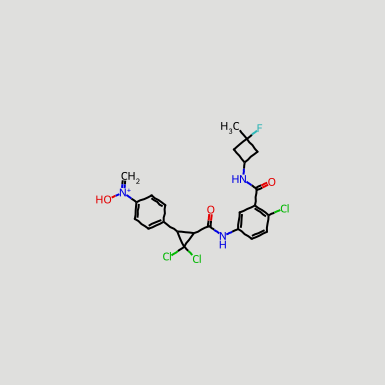 C=[N+](O)c1ccc(C2C(C(=O)Nc3ccc(Cl)c(C(=O)NC4CC(C)(F)C4)c3)C2(Cl)Cl)cc1